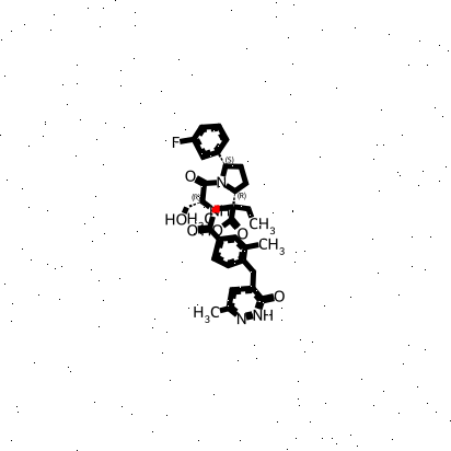 CCC(CC)(C(=O)O)[C@H]1CC[C@@H](c2cccc(F)c2)N1C(=O)[C@@H](CO)NC(=O)c1ccc(Cc2cc(C)n[nH]c2=O)c(C)c1